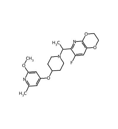 COc1cc(OC2CCN(C(C)c3nc4c(cc3F)OCCO4)CC2)cc(C)n1